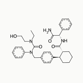 CCN(CCO)C(=O)N(Cc1ccc([C@@H]2CCCC[C@H]2C(=O)N[C@H](C(N)=O)c2ccccc2)cc1)c1ccccc1